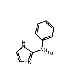 [Lu].c1ccc(Nc2ncc[nH]2)cc1